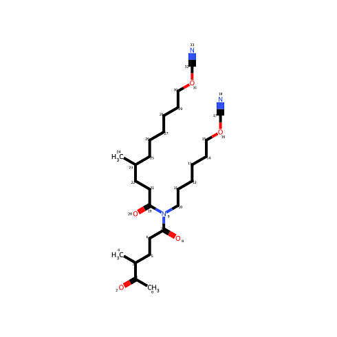 CC(=O)C(C)CCC(=O)N(CCCCCCOC#N)C(=O)CCC(C)CCCCCCOC#N